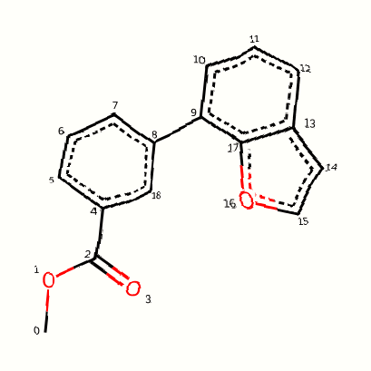 COC(=O)c1cccc(-c2cccc3ccoc23)c1